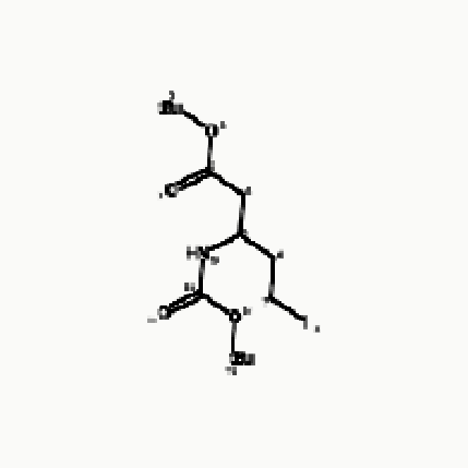 CC(C)(C)OC(=O)CC(CCI)NC(=O)OC(C)(C)C